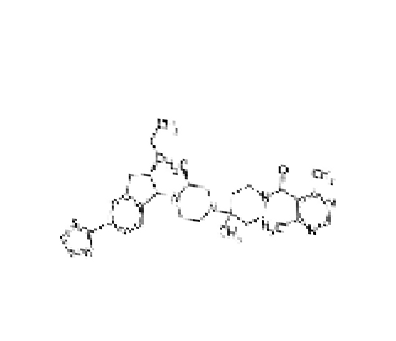 CCO[C@@H]1Cc2cc(-c3nccs3)ccc2C1N1CCN(C2(C)CCN(C(=O)c3c(C)ncnc3C)CC2)C[C@@H]1C